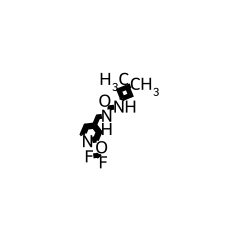 CC1(C)CC(NC(=O)NCc2ccnc(OC(F)F)c2)C1